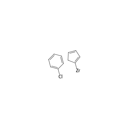 Clc1ccccc1.[Zr][C]1=CC=CC1